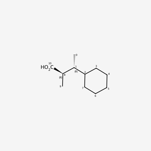 C[C@H](C1CCCCC1)[C@@H](C)C(=O)O